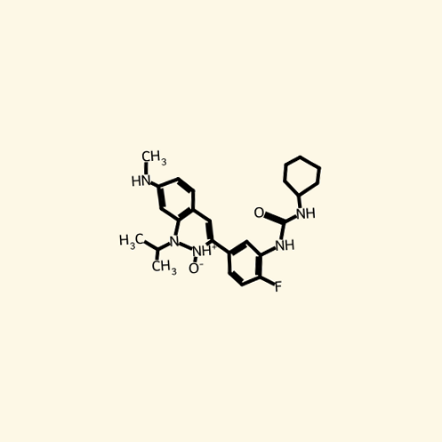 CNc1ccc2c(c1)N(C(C)C)[NH+]([O-])C(c1ccc(F)c(NC(=O)NC3CCCCC3)c1)=C2